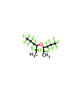 CC(F)(F)C(OC(C(C)(F)F)C(F)(F)C(F)(F)C(F)(F)F)C(F)(F)C(F)(F)C(F)(F)F